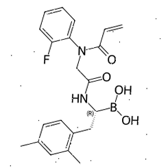 C=CC(=O)N(CC(=O)N[C@@H](Cc1ccc(C)cc1C)B(O)O)c1ccccc1F